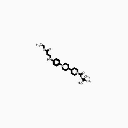 CCOC(=O)CCNc1ccc(N2CCC(C3CCN(C(=O)OC(C)(C)C)CC3)CC2)cc1